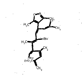 C=C(\C=C(C)/C(=C\CCCC)C(/C)=C(/C=C(\C=C(\C)CC)c1c(C)noc1C)CCCC)C(=O)OCC